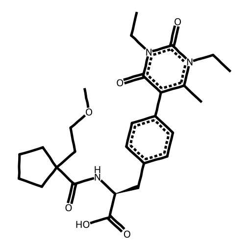 CCn1c(C)c(-c2ccc(C[C@H](NC(=O)C3(CCOC)CCCC3)C(=O)O)cc2)c(=O)n(CC)c1=O